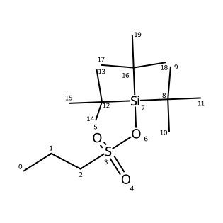 CCCS(=O)(=O)O[Si](C(C)(C)C)(C(C)(C)C)C(C)(C)C